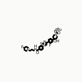 CC(C)(C)OC(=O)N1CCC(O)(c2ccc(-c3cn4c(n3)sc3cc(C(=O)NCCCN5CCC(F)CC5)ccc34)c(F)c2)CC1